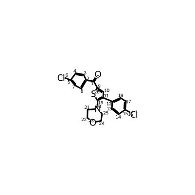 O=C(c1ccc(Cl)cc1)c1cc(-c2ccc(Cl)cc2)c(N2CCOCC2)s1